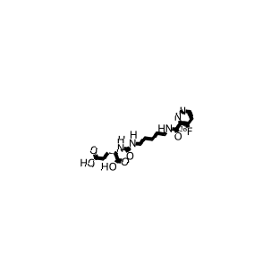 O=C(O)CC[C@H](NC(=O)NCCCCCNC(=O)c1nnccc1[18F])C(=O)O